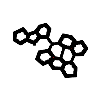 c1ccc(-c2cccc3cccc(-c4ccccc4N(c4ccccc4)c4cccc5c4oc4ccccc45)c23)cc1